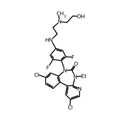 CCN1C(=O)N(c2c(F)cc(NCCN(C)CCO)cc2F)c2cc(Cl)ccc2-c2cc(Cl)cnc21